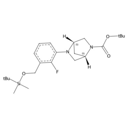 CC(C)(C)OC(=O)N1C[C@@H]2C[C@H]1CN2c1cccc(CO[Si](C)(C)C(C)(C)C)c1F